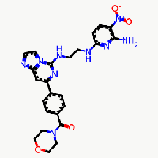 Nc1nc(NCCNc2nc(-c3ccc(C(=O)N4CCOCC4)cc3)cc3nccn23)ccc1[N+](=O)[O-]